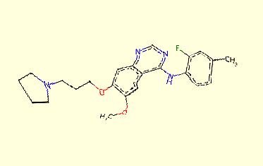 COc1cc2c(Nc3ccc(C)cc3F)ncnc2cc1OCCCN1CCCC1